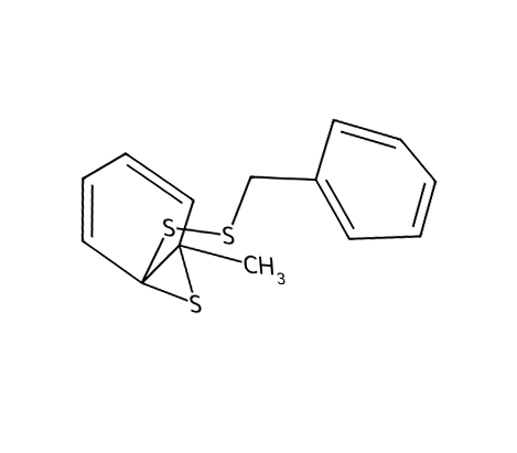 CC12C=CC=CC1(SSCc1ccccc1)S2